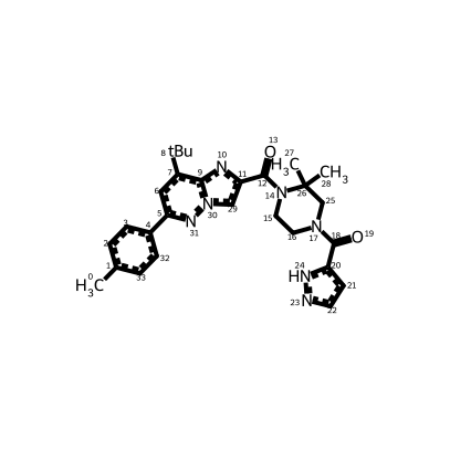 Cc1ccc(-c2cc(C(C)(C)C)c3nc(C(=O)N4CCN(C(=O)c5ccn[nH]5)CC4(C)C)cn3n2)cc1